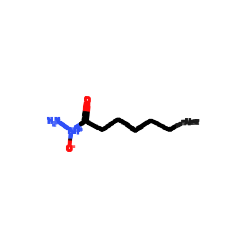 CCCCCCCCCCCC(=O)[NH+](N)[O-]